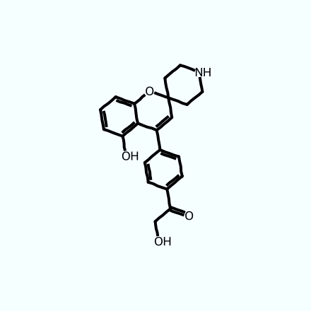 O=C(CO)c1ccc(C2=CC3(CCNCC3)Oc3cccc(O)c32)cc1